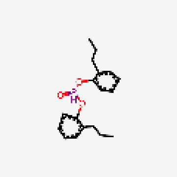 CCCc1ccccc1O[PH](=O)Oc1ccccc1CCC